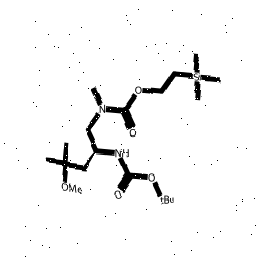 COC(C)(C)C[C@@H](CN(C)C(=O)OCC[Si](C)(C)C)NC(=O)OC(C)(C)C